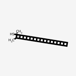 CC1C2C3C4C5C6C7C8C9C%10C%11C%12C%13C%14C%15CCC%15C%14C%13C%12C%11C%10C9C8C7C6C5C4C3C2[C@@]1(C)S